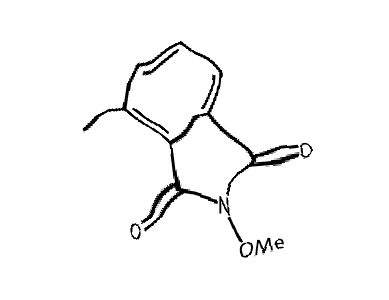 CON1C(=O)c2cccc(C)c2C1=O